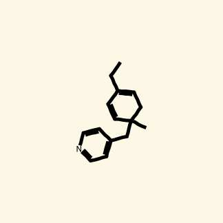 CCC1=CCC(C)(Cc2ccncc2)C=C1